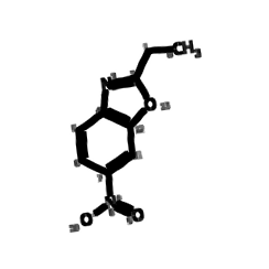 CCc1nc2ccc([N+](=O)[O-])cc2o1